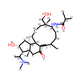 CC1/C=C2/C(=O)C[C@]3(C)[C@@H](C(C)N(C)C)[C@H](O)C[C@@]3(C)C2CCC[C@](C)(CO)[C@@H](NC(=O)C(C)C)CC1